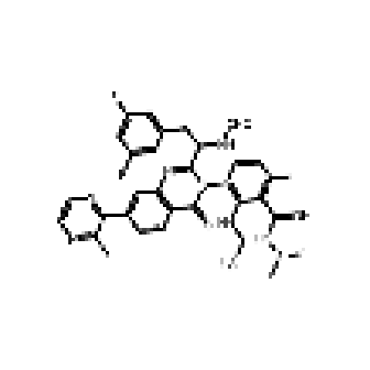 Cc1nccnc1-c1ccc2c(=O)n(-c3ccc(Cl)c(C(=N)N[S+](C)[O-])c3NCC(F)(F)F)c(C(Cc3cc(F)cc(F)c3)NC=O)nc2c1